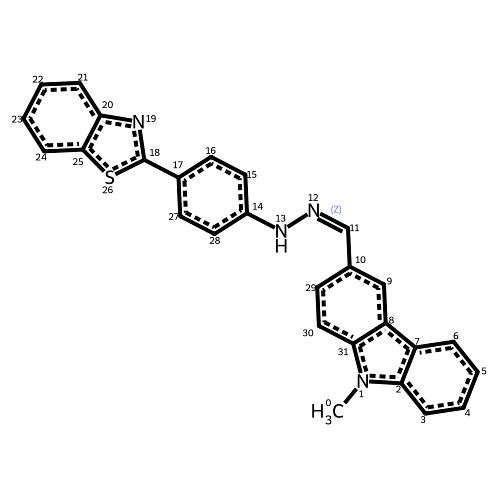 Cn1c2ccccc2c2cc(/C=N\Nc3ccc(-c4nc5ccccc5s4)cc3)ccc21